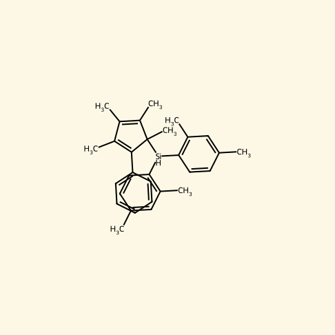 CC1=C(C)C(C)([SiH](c2ccc(C)cc2C)c2ccc(C)cc2C)C(c2ccccc2)=C1C